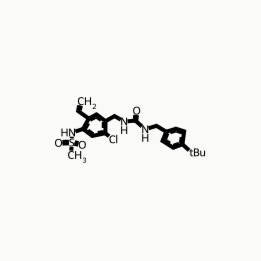 C=Cc1cc(CNC(=O)NCc2ccc(C(C)(C)C)cc2)c(Cl)cc1NS(C)(=O)=O